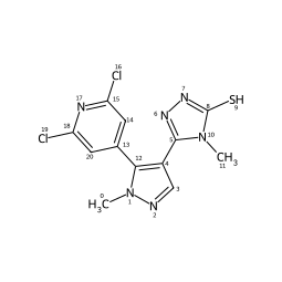 Cn1ncc(-c2nnc(S)n2C)c1-c1cc(Cl)nc(Cl)c1